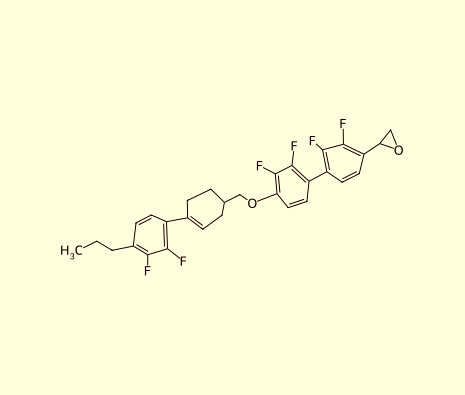 CCCc1ccc(C2=CCC(COc3ccc(-c4ccc(C5CO5)c(F)c4F)c(F)c3F)CC2)c(F)c1F